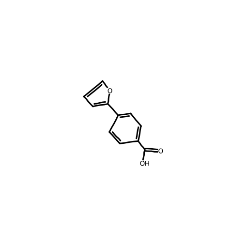 O=C(O)c1ccc(-c2ccco2)cc1